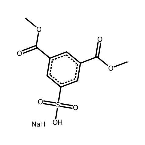 COC(=O)c1cc(C(=O)OC)cc(S(=O)(=O)O)c1.[NaH]